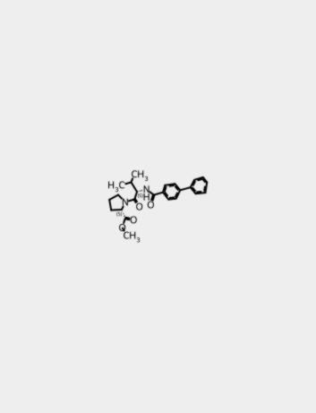 COC(=O)[C@@H]1CCCN1C(=O)[C@@H](NC(=O)c1ccc(-c2ccccc2)cc1)C(C)C